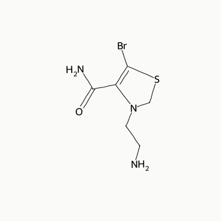 NCCN1CSC(Br)=C1C(N)=O